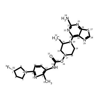 Cc1nc(N2CC[C@H](F)C2)ccc1NC(=O)ON1CCN(c2nc(N)nc3scnc23)C(C)C1